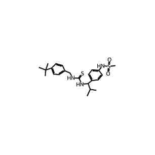 CC(C)C(NC(=S)NCc1ccc(C(C)(C)C)cc1)c1ccc(NS(C)(=O)=O)cc1